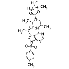 C=C(C)c1cn(S(=O)(=O)c2ccc(C)cc2)c2ncnc(N3CC(C)N(C(=O)OC(C)(C)C)CC3C)c12